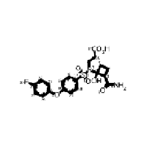 NC(=O)C1CCC1(O)N(CCC(=O)O)S(=O)(=O)c1ccc(Oc2ccc(F)cc2)cc1